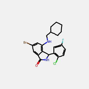 O=C1NC(c2cc(F)ccc2Cl)c2c(NCC3CCCCC3)cc(Br)cc21